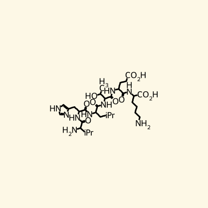 CC(C)CC(NC(=O)C(Cc1c[nH]cn1)NC(=O)C(N)C(C)C)C(=O)NC(C(=O)NC(CCC(=O)O)C(=O)NC(CCCCN)C(=O)O)C(C)O